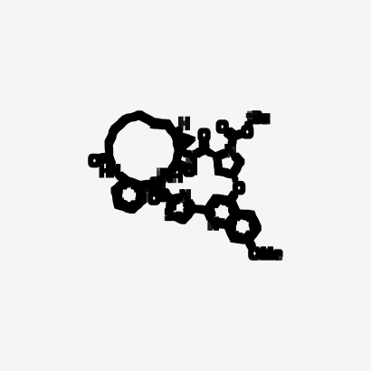 COc1ccc2c(O[C@@H]3C[C@@H](C(=O)N[C@]45C[C@H]4/C=C/CCCCC(=O)Nc4ccccc4S(=O)(=O)NC5=O)N(C(=O)OC(C)(C)C)C3)cc(-c3csc(NC(C)C)n3)nc2c1